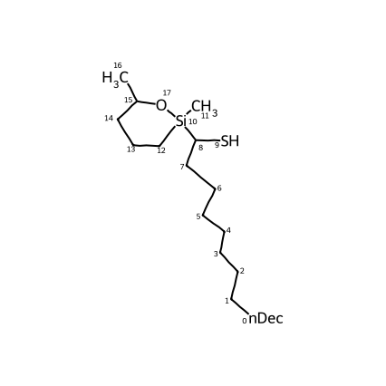 CCCCCCCCCCCCCCCCCC(S)[Si]1(C)CCCC(C)O1